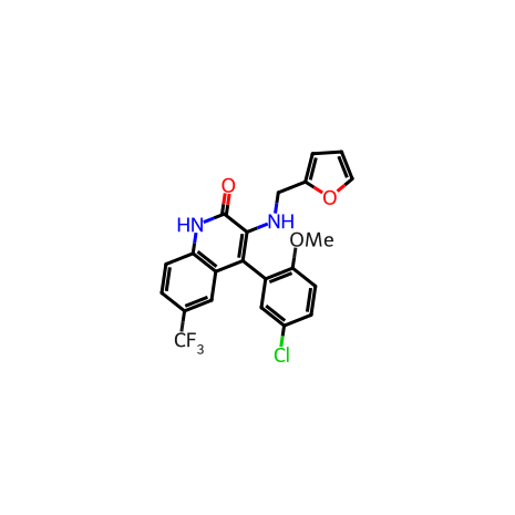 COc1ccc(Cl)cc1-c1c(NCc2ccco2)c(=O)[nH]c2ccc(C(F)(F)F)cc12